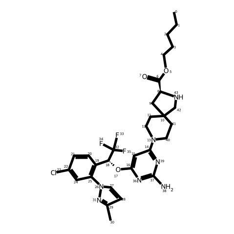 CCCCCOC(=O)[C@@H]1CC2(CCN(c3cc(O[C@H](c4ccc(Cl)cc4-n4ccc(C)n4)C(F)(F)F)nc(N)n3)CC2)CN1